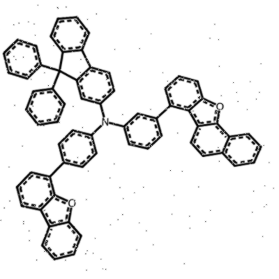 c1ccc(C2(c3ccccc3)c3ccccc3-c3ccc(N(c4ccc(-c5cccc6c5oc5ccccc56)cc4)c4cccc(-c5cccc6oc7c8ccccc8ccc7c56)c4)cc32)cc1